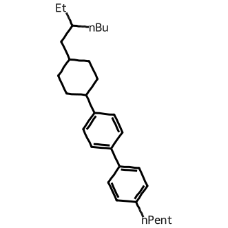 CCCCCc1ccc(-c2ccc(C3CCC(CC(CC)CCCC)CC3)cc2)cc1